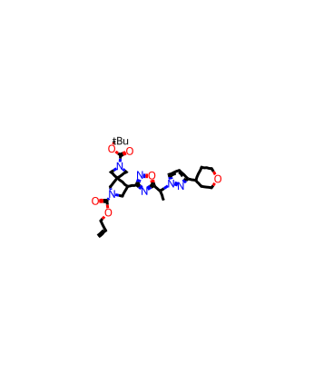 C=CCOC(=O)N1CC(c2noc(C(C)n3ccc(C4CCOCC4)n3)n2)C2(C1)CN(C(=O)OC(C)(C)C)C2